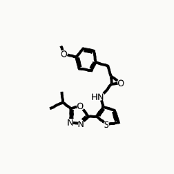 COc1ccc(CC2OC2Nc2ccsc2-c2nnc(C(C)C)o2)cc1